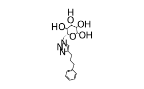 OC1O[C@H](Cn2cc(CCCc3ccccc3)nn2)[C@@H](O)[C@H](O)[C@H]1O